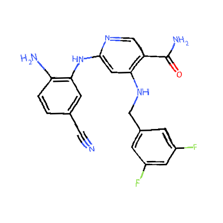 N#Cc1ccc(N)c(Nc2cc(NCc3cc(F)cc(F)c3)c(C(N)=O)cn2)c1